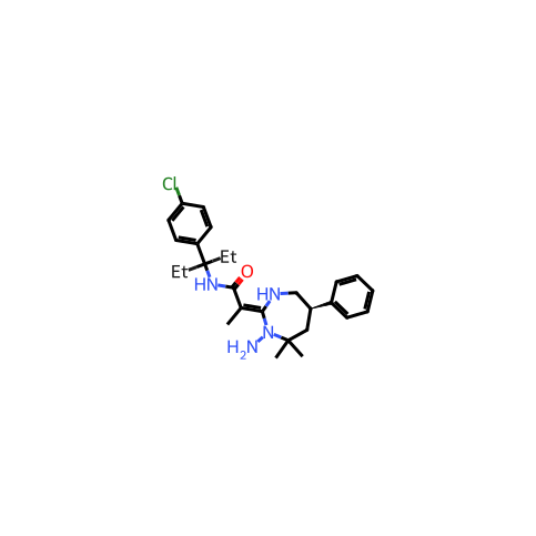 CCC(CC)(NC(=O)/C(C)=C1\NC[C@@H](c2ccccc2)CC(C)(C)N1N)c1ccc(Cl)cc1